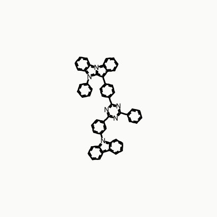 c1ccc(-c2nc(-c3ccc(-c4c5ccccc5n5c6ccccc6n(-c6ccccc6)c45)cc3)nc(-c3cccc(-n4c5ccccc5c5ccccc54)c3)n2)cc1